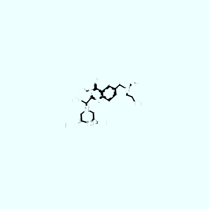 CCCC(c1nc2ccc(CN(C)CCC(C)C)cc2c(=O)n1CC)N1C[C@@H](C)N[C@@H](C)C1